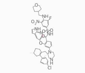 C[C@@H]1CCC(C[C@]2(C)CNCCN2c2ccc(C(=O)NS(=O)(=O)c3cc(F)c(NCC4CCOCC4)c([N+](=O)[O-])c3)c(Oc3cnc4[nH]ccc4c3)c2)=C(c2ccc(Cl)cc2)C1